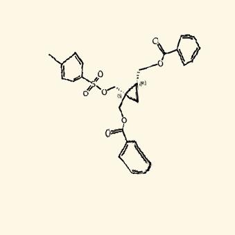 Cc1ccc(S(=O)(=O)OC[C@@]2(COC(=O)c3ccccc3)C[C@H]2COC(=O)c2ccccc2)cc1